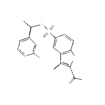 Cc1c(C(=O)O)oc2ccc(S(=O)(=O)NC(C)c3cccc(O)c3)cc12